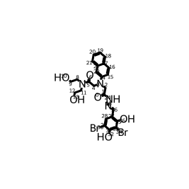 O=C(CN(CC(=O)N(CCO)CCO)c1ccc2ccccc2c1)N/N=C/c1cc(Br)c(O)c(Br)c1O